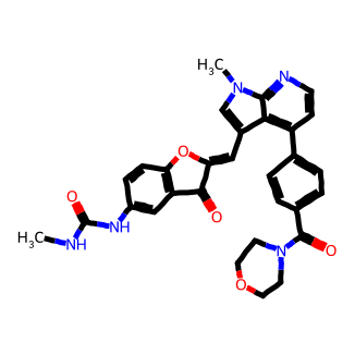 CNC(=O)Nc1ccc2c(c1)C(=O)/C(=C/c1cn(C)c3nccc(-c4ccc(C(=O)N5CCOCC5)cc4)c13)O2